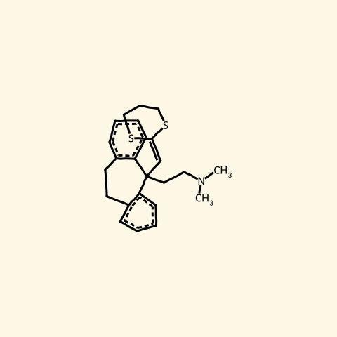 CN(C)CCC1(C=C2SCCCS2)c2ccccc2CCc2ccccc21